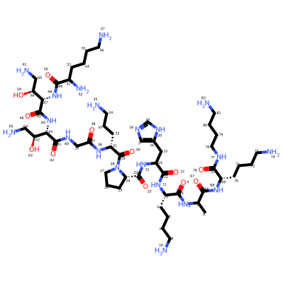 CC(NC(=O)[C@H](CCCCN)NC(=O)C(Cc1cnc[nH]1)NC(=O)[C@@H]1CCCN1C(=O)[C@@H](CCCN)NC(=O)CNC(=O)[C@@H](NC(=O)[C@@H](NC(=O)C(N)CCCCN)[C@@H](O)CN)[C@@H](O)CN)C(=O)N[C@@H](CCCCN)C(=O)NCCCCN